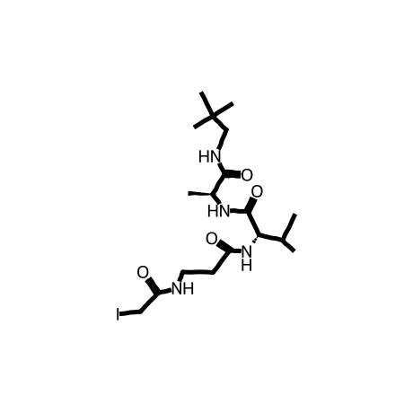 CC(C)[C@H](NC(=O)CCNC(=O)CI)C(=O)N[C@@H](C)C(=O)NCC(C)(C)C